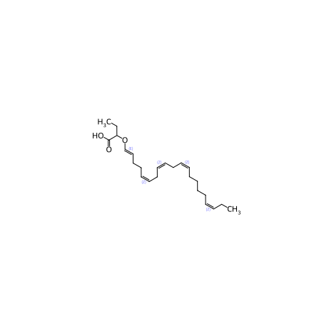 CC/C=C\CCCC/C=C\C/C=C\C/C=C\CC/C=C/OC(CC)C(=O)O